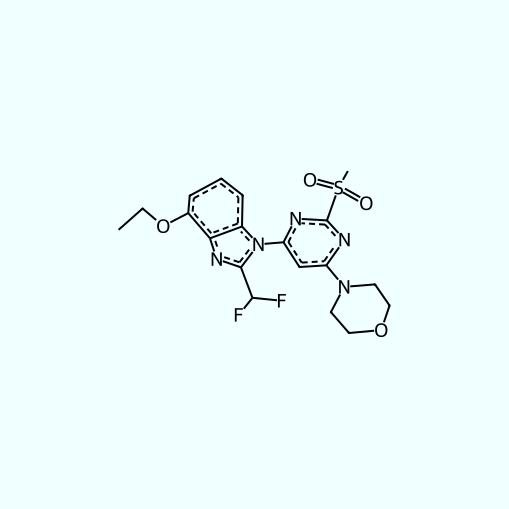 CCOc1cccc2c1nc(C(F)F)n2-c1cc(N2CCOCC2)nc(S(C)(=O)=O)n1